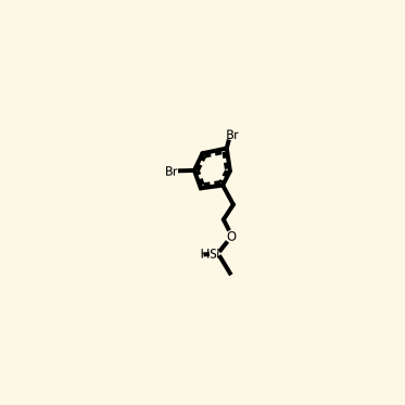 C[SiH](C)OCCc1cc(Br)cc(Br)c1